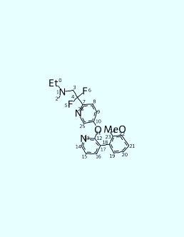 CCN(C)CC(F)(F)c1ccc(Oc2ncccc2-c2ccccc2OC)cn1